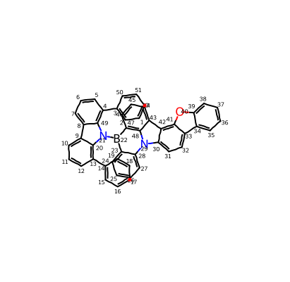 c1ccc(-c2cccc3c4cccc(-c5ccccc5)c4n(B4c5ccccc5-n5c6ccc7c8ccccc8oc7c6c6cccc4c65)c23)cc1